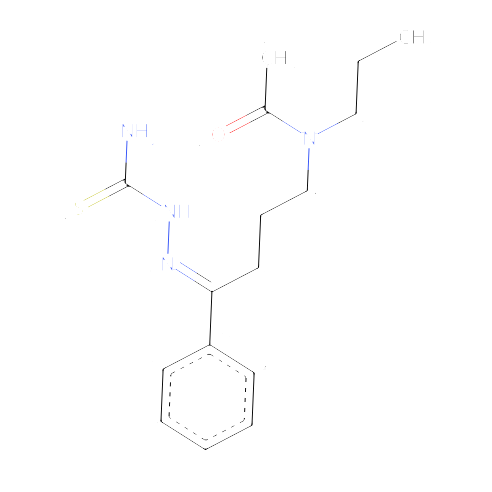 CCCN(CCCC(=NNC(N)=S)c1ccccc1)C(C)=O